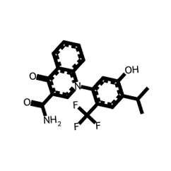 CC(C)c1cc(C(F)(F)F)c(-n2cc(C(N)=O)c(=O)c3ccccc32)cc1O